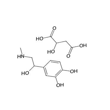 CNCC(O)c1ccc(O)c(O)c1.O=C(O)CC(O)C(=O)O